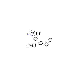 CC/C=C\C=C(/C)C1(c2ccc(N(c3ccc(-c4cccc(-c5ccccc5)c4)cc3)c3ccc4oc5c(c4c3)=CCCC=5)cc2)c2ccccc2-c2ccccc21